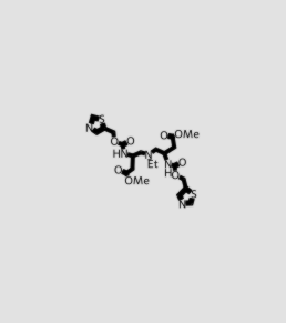 CCN(CC(CC(=O)OC)NC(=O)OCc1cncs1)CC(CC(=O)OC)NC(=O)OCc1cncs1